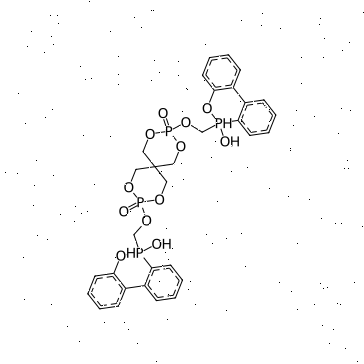 O=P1(OC[PH]2(O)Oc3ccccc3-c3ccccc32)OCC2(CO1)COP(=O)(OC[PH]1(O)Oc3ccccc3-c3ccccc31)OC2